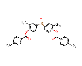 Cc1cc([S+]([O-])c2ccc(OC(=O)c3ccc([N+](=O)[O-])cc3)c(C)c2)ccc1OC(=O)c1ccc([N+](=O)[O-])cc1